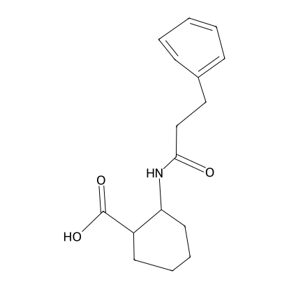 O=C(CCc1ccccc1)NC1CCCCC1C(=O)O